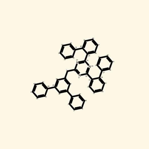 c1ccc(-c2cc(Cc3nc(-c4ccccc4-c4ccccc4)nc(-c4ccccc4-c4ccccc4)n3)cc(-c3ccccc3)c2)cc1